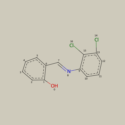 Oc1ccccc1/C=N/c1cccc(Cl)c1Cl